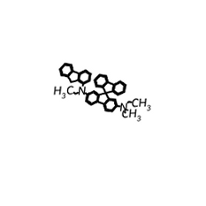 CCN(C)c1ccc2c(c1)C1(c3ccccc3-c3ccccc31)c1cc(N(CC)c3cccc4c3Cc3ccccc3-4)ccc1-2